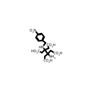 NC(CC(=O)O)(CC(=O)O)C(CC(=O)O)(CC(=O)O)NCc1ccc([N+](=O)[O-])cc1